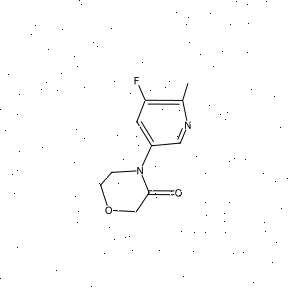 Cc1ncc(N2CCOCC2=O)cc1F